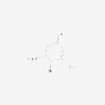 COc1cc(C#N)cc(OC)c1Br